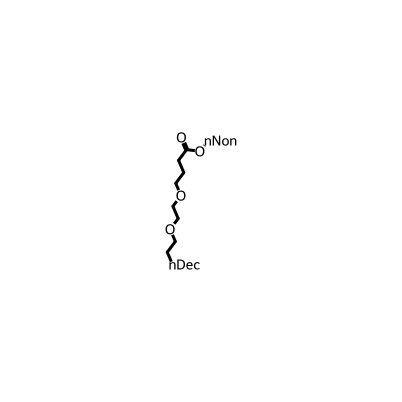 CCCCCCCCCCCCOCCOCCCC(=O)OCCCCCCCCC